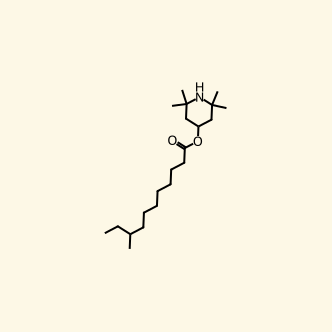 CCC(C)CCCCCCCC(=O)OC1CC(C)(C)NC(C)(C)C1